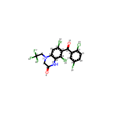 O=C1CN(CC(F)(F)F)c2cc(Br)c(C(=O)c3cc(F)ccc3Cl)c(Br)c2N1